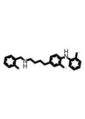 [CH2]c1ccccc1Nc1ccc(CCCCNCc2ccccc2C)cc1[CH2]